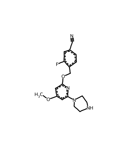 COc1cc(OCc2ccc(C#N)cc2F)nc(N2CCNCC2)c1